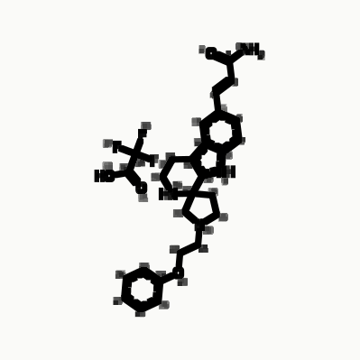 NC(=O)/C=C/c1ccc2[nH]c3c(c2c1)CCNC31CCN(CCOc2ccccc2)C1.O=C(O)C(F)(F)F